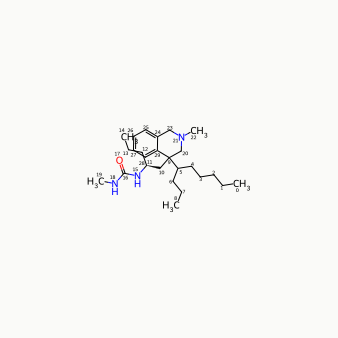 CCCCCC(CCC)C1(C[C@H](CCC)NC(=O)NC)CN(C)Cc2ccccc21